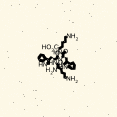 NCCCC[C@H](NC(=O)[C@H](Cc1c[nH]c2ccccc12)NC(=O)[C@H](Cc1c[nH]c2ccccc12)NC(=O)[C@@H](N)CCCCN)C(=O)O